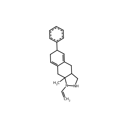 C=CN1NCC2CC3=CC(c4ccccc4)CC=C3CC21C